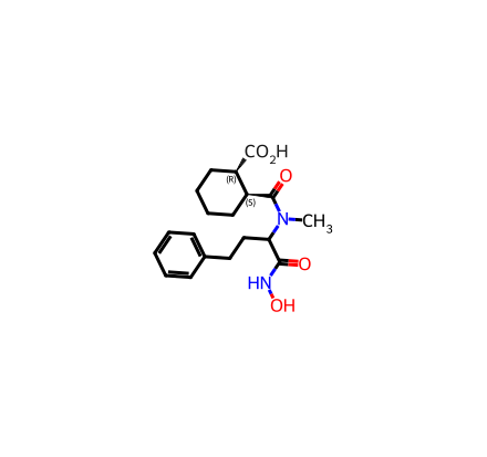 CN(C(=O)[C@H]1CCCC[C@H]1C(=O)O)C(CCc1ccccc1)C(=O)NO